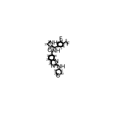 O=C(N[C@@H](c1ccc(CF)c(F)c1)[C@@H]1CCCN1)c1ccc2cnc(NC3CCOCC3)nc2c1